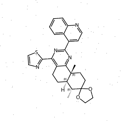 C[C@@H]1[C@H]2CCc3c(-c4nccs4)nc(-c4ccnc5ccccc45)nc3[C@]2(C)CCC12OCCO2